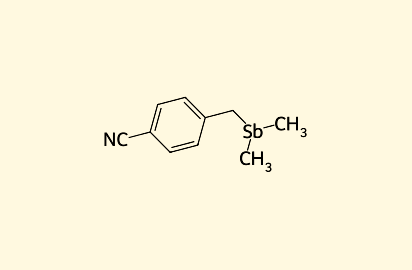 [CH3][Sb]([CH3])[CH2]c1ccc(C#N)cc1